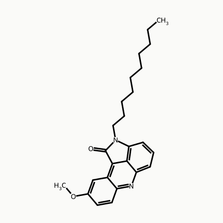 CCCCCCCCCCN1C(=O)c2c3cc(OC)ccc3nc3cccc1c23